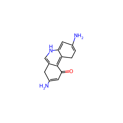 NC1=CCC2=C3C(=O)C=C(N)CC3=CNC2=C1